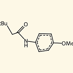 [CH2]C(C)(C)CC(=O)Nc1ccc(OC)cc1